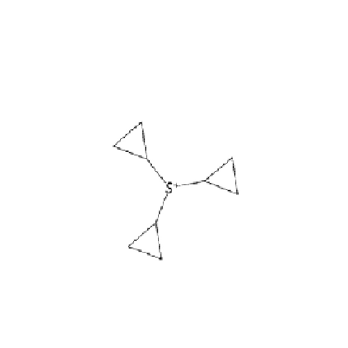 C1CC1[S+](C1CC1)C1CC1